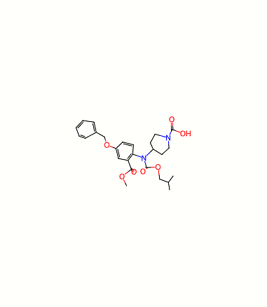 COC(=O)c1cc(OCc2ccccc2)ccc1N(C(=O)OCC(C)C)C1CCN(C(=O)O)CC1